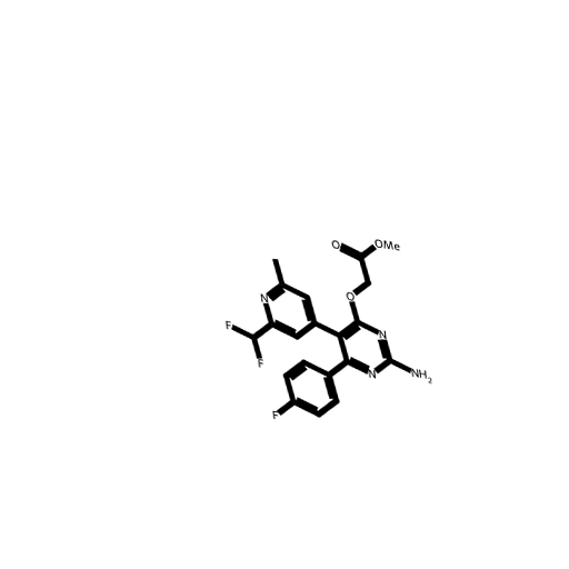 COC(=O)COc1nc(N)nc(-c2ccc(F)cc2)c1-c1cc(C)nc(C(F)F)c1